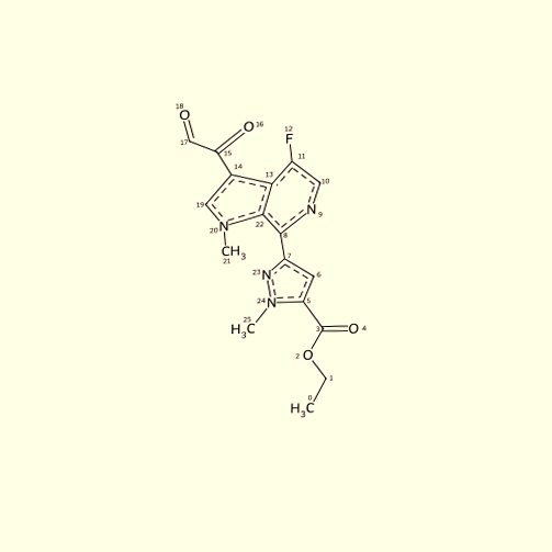 CCOC(=O)c1cc(-c2ncc(F)c3c(C(=O)C=O)cn(C)c23)nn1C